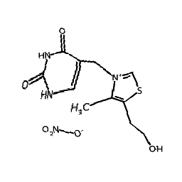 Cc1c(CCO)sc[n+]1Cc1c[nH]c(=O)[nH]c1=O.O=[N+]([O-])[O-]